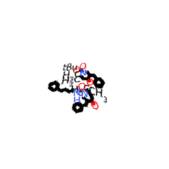 CC(C)(C)OC(=O)N1CC(Cc2ccccc2)C(=O)CC1(C)C.CC1(C)CC(=O)C(Cc2ccccc2)CN1C(=O)NCCCCc1ccccc1